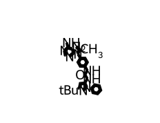 Cc1nc2c(N)ncnc2n1-c1ccc(NC(=O)Nc2cc(C(C)(C)C)nn2-c2ccccc2)cc1